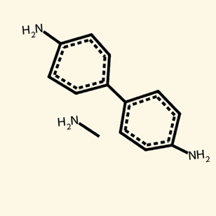 CN.Nc1ccc(-c2ccc(N)cc2)cc1